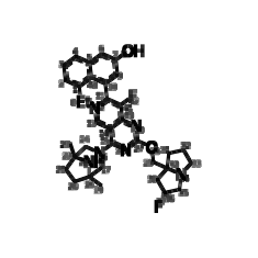 CCc1cccc2cc(O)cc(-c3ncc4c(N5CC6(C)CCC(C)(C5)N6)nc(OCC56CCCN5C[C@H](F)C6)nc4c3F)c12